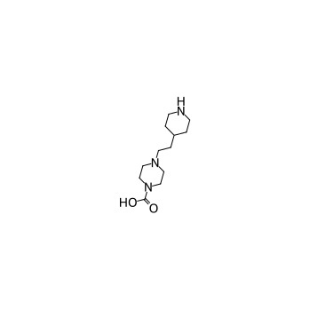 O=C(O)N1CCN(CCC2CCNCC2)CC1